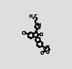 CCCn1cc(N2C(=O)C3(Cc4ccc(-n5ncoc5=O)cc4C3)c3ccc(Cl)cc32)cn1